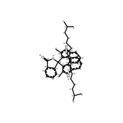 Cc1[nH]c2cccc(CCCCCC(C)C)c2c1C1(c2c(C)[nH]c3cccc(CCCCCC(C)C)c23)OC(=O)c2ccccc21